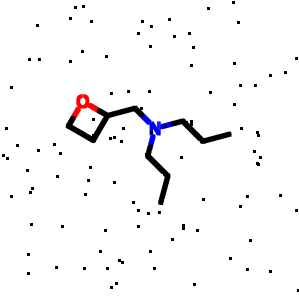 CCCN(CCC)CC1CCO1